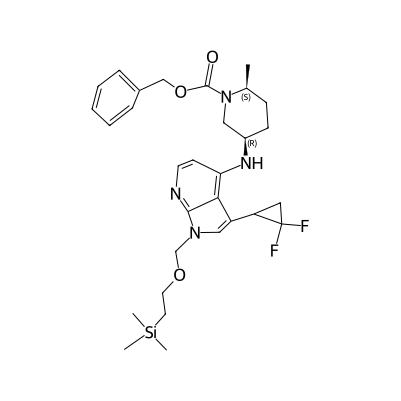 C[C@H]1CC[C@@H](Nc2ccnc3c2c(C2CC2(F)F)cn3COCC[Si](C)(C)C)CN1C(=O)OCc1ccccc1